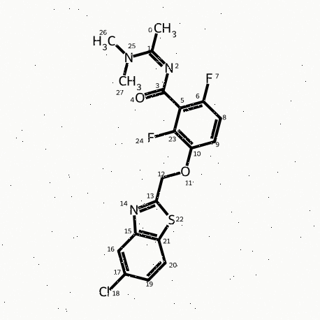 CC(=NC(=O)c1c(F)ccc(OCc2nc3cc(Cl)ccc3s2)c1F)N(C)C